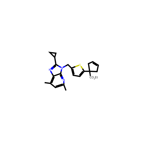 CCOC(=O)C1(c2ccc(Cn3c(C4CC4)nc4c(C)cc(C)nc43)s2)CC=CC1